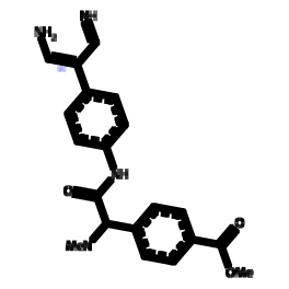 CNC(C(=O)Nc1ccc(/C(C=N)=C/N)cc1)c1ccc(C(=O)OC)cc1